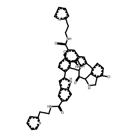 O=C(NCCc1ccccn1)c1ccc2[nH]c(-c3ccc(Cl)c4c3C(C(=O)C3NCc5c(Cl)ccc(-c6cc7cc(C(=O)NCCc8ccccn8)ccc7[nH]6)c53)NC4)cc2c1